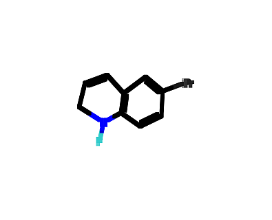 CC(C)c1ccc2c(c1)C=CCN2F